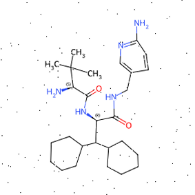 CC(C)(C)[C@H](N)C(=O)N[C@@H](C(=O)NCc1ccc(N)nc1)C(C1CCCCC1)C1CCCCC1